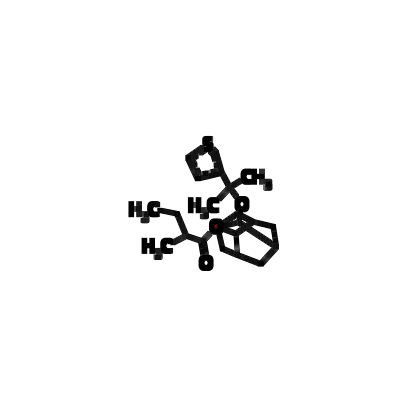 CCC(C)C(=O)OC1C2CC3CC1CC(C2)C3OC(C)(C)c1ccsc1